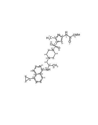 COC(=O)Nc1nc(C)c(S(=O)(=O)N2CCN(CC(C)Nc3ncnc4c(C5CC5)cccc34)CC2)s1